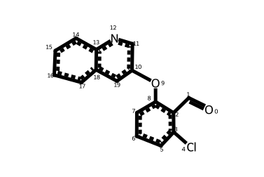 O=Cc1c(Cl)cccc1Oc1cnc2ccccc2c1